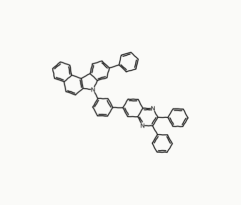 c1ccc(-c2ccc3c4c5ccccc5ccc4n(-c4cccc(-c5ccc6nc(-c7ccccc7)c(-c7ccccc7)nc6c5)c4)c3c2)cc1